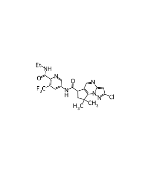 CCNC(=O)c1ncc(NC(=O)C2CC(C)(C)c3c2cnc2cc(Cl)nn32)cc1C(F)(F)F